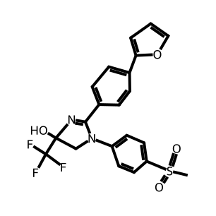 CS(=O)(=O)c1ccc(N2CC(O)(C(F)(F)F)N=C2c2ccc(-c3ccco3)cc2)cc1